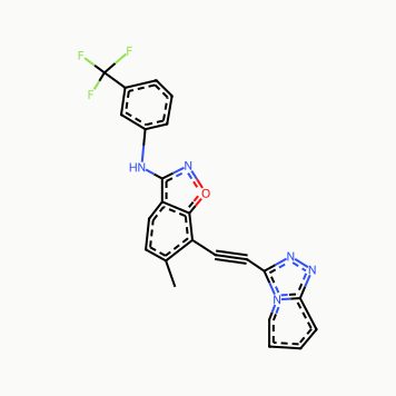 Cc1ccc2c(Nc3cccc(C(F)(F)F)c3)noc2c1C#Cc1nnc2ccccn12